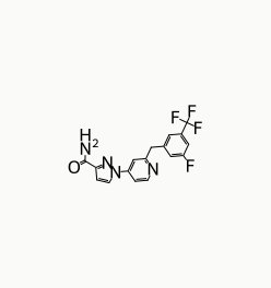 NC(=O)c1ccn(-c2ccnc(Cc3cc(F)cc(C(F)(F)F)c3)c2)n1